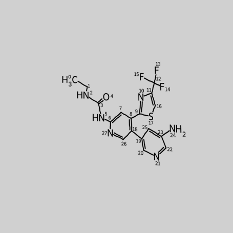 CCNC(=O)Nc1cc(-c2nc(C(F)(F)F)cs2)c(-c2cncc(N)c2)cn1